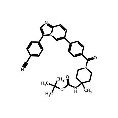 CC1(NC(=O)OC(C)(C)C)CCN(C(=O)c2ccc(-c3ccc4ncc(-c5ccc(C#N)cc5)n4c3)cc2)CC1